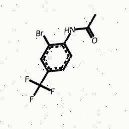 CC(=O)Nc1ccc(C(F)(F)F)cc1Br